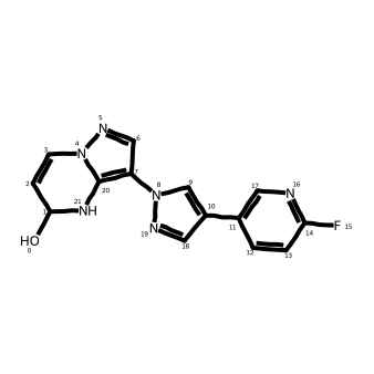 OC1C=Cn2ncc(-n3cc(-c4ccc(F)nc4)cn3)c2N1